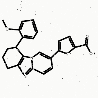 COc1ccccc1C1CCCc2nc3ccc(-c4ccc(C(=O)O)s4)cn3c21